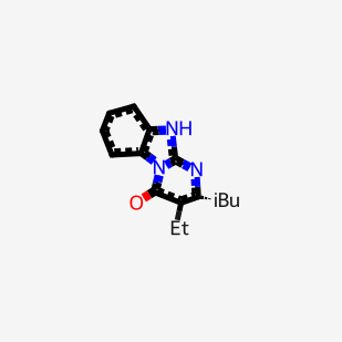 CCc1c([C@@H](C)CC)nc2[nH]c3ccccc3n2c1=O